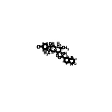 CC(C)[C@@H](NC(=O)c1ccc2nccnc2c1)C(=O)N1CC[C@](O)(c2ccc(Cl)cc2)C(C)(C)C1